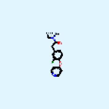 CCC(C)N(CC(=O)O)C(=O)Cc1ccc(Oc2ccncc2)c(Cl)c1